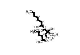 CCCCC(=O)O.CCCCCCC(=O)O.O=C(O)CC(O)(CC(=O)O)C(=O)O